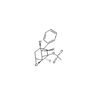 CS(=O)(=O)O[C@@H]1[C@@H](c2ccccc2)[C@H]2CC[C@@]13OC3C2